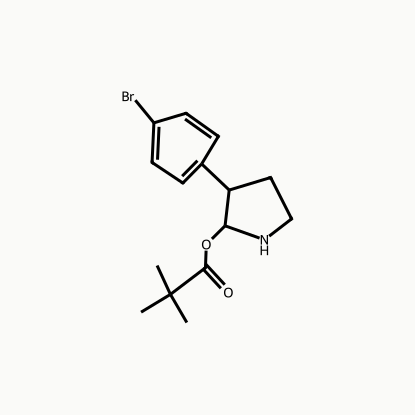 CC(C)(C)C(=O)OC1NCCC1c1ccc(Br)cc1